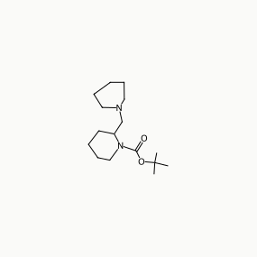 CC(C)(C)OC(=O)N1CCCCC1CN1CCCCC1